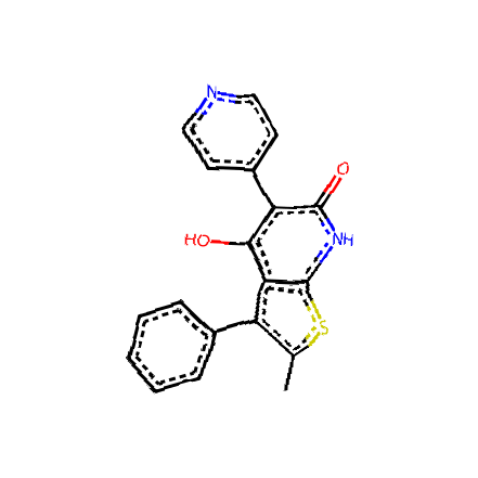 Cc1sc2[nH]c(=O)c(-c3ccncc3)c(O)c2c1-c1ccccc1